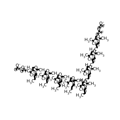 CCCC[N+]1=C(C)OC[C@@H]1C(C)C.CCCC[N+]1=C(C)OC[C@@H]1C(C)C.CCCC[N+]1=C(C)OC[C@@H]1C(C)C.CCCC[N+]1=C(C)OC[C@@H]1C(C)C.CCCC[N+]1=C(C)OC[C@@H]1C(C)C.CCCC[N+]1=C(C)OC[C@@H]1C(C)C.CCCC[N+]1=C(C)OC[C@@H]1C(C)C.CCCC[N+]1=C(C)OC[C@@H]1C(C)C.[O-]B([O-])F.[O-]B([O-])F.[O-]B([O-])F.[O-]B([O-])F